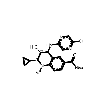 CNC(=O)c1ccc2c(c1)C(Nc1cnc(C)cn1)[C@@H](C)[C@H](C1CC1)N2C(C)=O